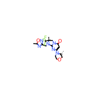 Cc1nc(CN2c3nc(N4CCOC[C@H]4C)cc(=O)n3C[C@@]2(C)C(F)(F)F)no1